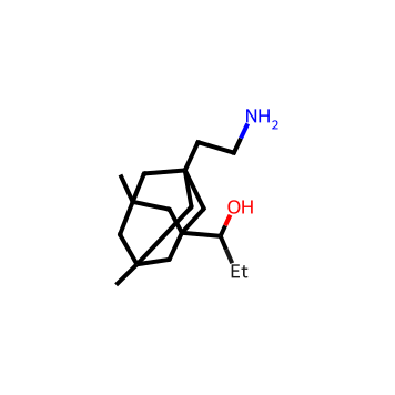 CCC(O)C12CC3(C)CC(C)(CC(CCN)(C3)C1)C2